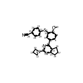 COc1ccc(-c2nc(N3CCC3)nc3c2CCC3)cc1Sc1ccc(C#N)cc1